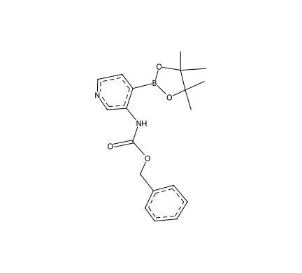 CC1(C)OB(c2ccncc2NC(=O)OCc2ccccc2)OC1(C)C